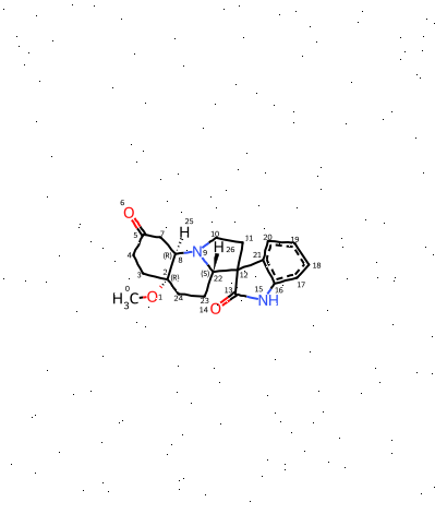 CO[C@]12CCC(=O)C[C@H]1N1CCC3(C(=O)Nc4ccccc43)[C@@H]1CC2